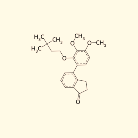 COc1ccc(-c2cccc3c2CCC3=O)c(OCCC(C)(C)C)c1OC